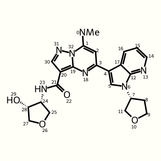 CNc1cc(-c2cn([C@@H]3CCOC3)c3ncccc23)nc2c(C(=O)N[C@@H]3COC[C@@H]3O)cnn12